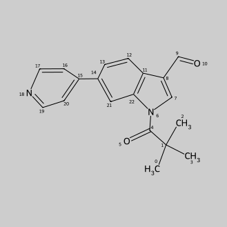 CC(C)(C)C(=O)n1cc(C=O)c2ccc(-c3ccncc3)cc21